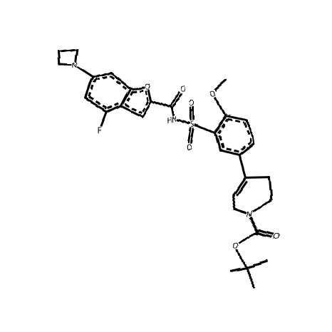 COc1ccc(C2=CCN(C(=O)OC(C)(C)C)CC2)cc1S(=O)(=O)NC(=O)c1cc2c(F)cc(N3CCC3)cc2o1